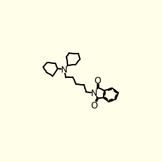 O=C1c2ccccc2C(=O)N1CCCCCN(C1CCCCC1)C1CCCCC1